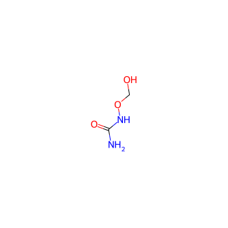 NC(=O)NOCO